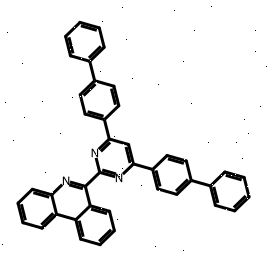 c1ccc(-c2ccc(-c3cc(-c4ccc(-c5ccccc5)cc4)nc(-c4nc5ccccc5c5ccccc45)n3)cc2)cc1